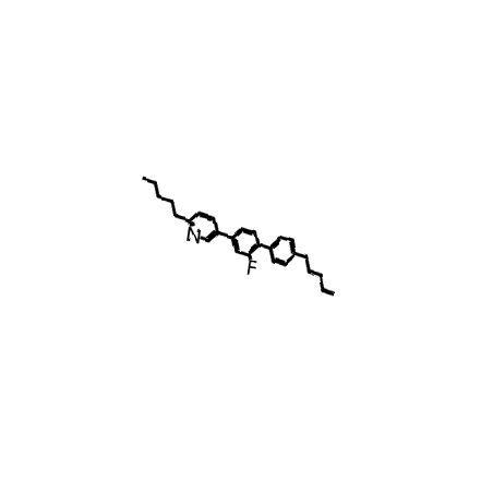 CCCCCc1ccc(-c2ccc(-c3ccc(CCCCC)nc3)cc2F)cc1